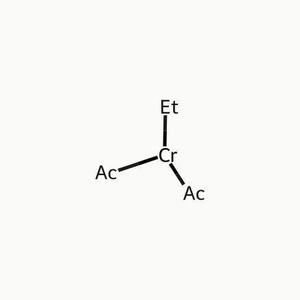 C[CH2][Cr]([C](C)=O)[C](C)=O